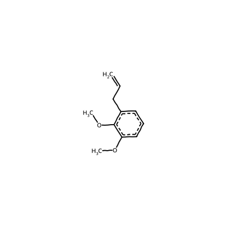 C=CCc1cccc(OC)c1OC